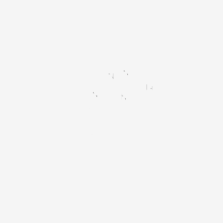 Fc1ccc(N2CCn3nc(Br)nc32)c(F)c1F